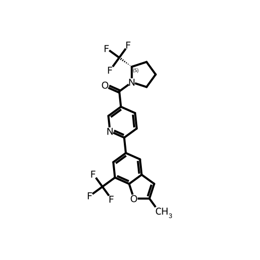 Cc1cc2cc(-c3ccc(C(=O)N4CCC[C@H]4C(F)(F)F)cn3)cc(C(F)(F)F)c2o1